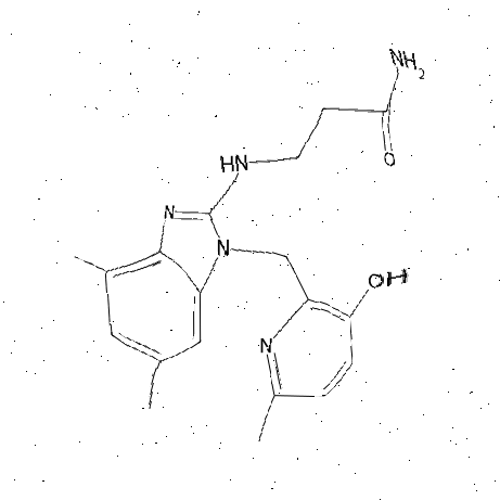 Cc1cc(C)c2nc(NCCC(N)=O)n(Cc3nc(C)ccc3O)c2c1